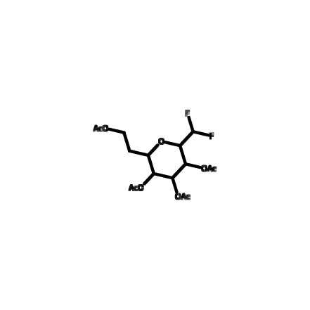 CC(=O)OCCC1OC(C(F)F)C(OC(C)=O)C(OC(C)=O)C1OC(C)=O